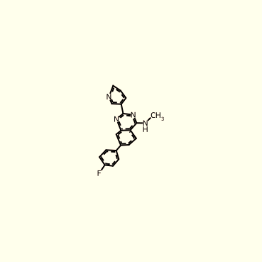 CNc1nc(-c2cccnc2)nc2cc(-c3ccc(F)cc3)ccc12